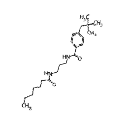 CCCCCCC(=O)NCCCNC(=O)c1ccc(CC(C)(C)C)cc1